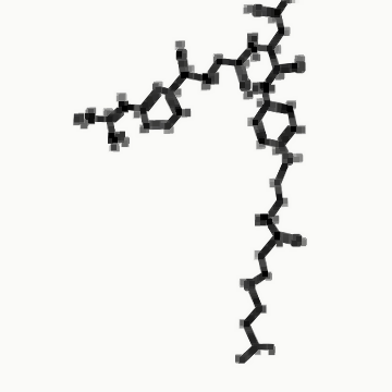 CC(C)CCOCCC(=O)NCCOc1ccc(NC(=O)C(CC(=O)O)NC(=O)CNC(=O)c2cccc(N=C(N)N)c2)cc1